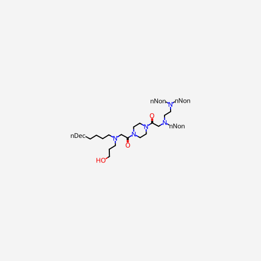 CCCCCCCCCCCCCCN(CCCO)CC(=O)N1CCN(C(=O)CN(CCCCCCCCC)CCN(CCCCCCCCC)CCCCCCCCC)CC1